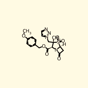 COc1ccc(COC(=O)[C@@H]2N3C(=O)C[C@@H]3S(=O)(=O)[C@@]2(C)Cn2ccnn2)cc1